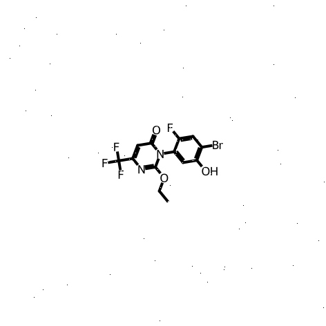 CCOc1nc(C(F)(F)F)cc(=O)n1-c1cc(O)c(Br)cc1F